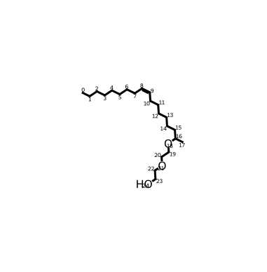 CCCCCCCC/C=C\CCCCCCC(C)OCCOCCO